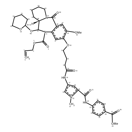 C=CCOC(=O)N1c2cc(OCCCC(=O)Nc3cc(C(=O)Nc4ccc(C(=O)OC)cc4)n(C)c3)c(OC)cc2C(=O)N2CCCC[C@H]2C1OC1CCCCO1